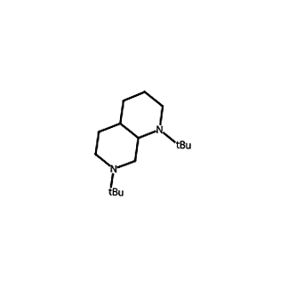 CC(C)(C)N1CCC2CCCN(C(C)(C)C)C2C1